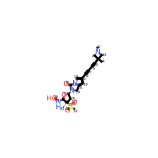 CN1CC(C)(C#CC#Cc2cc3n(c2)C(=O)N(CC[C@](C)(C(=O)NO)S(C)(=O)=O)C3)C1